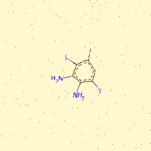 Cc1cc(I)c(N)c(N)c1I